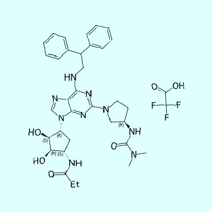 CCC(=O)N[C@H]1C[C@@H](n2cnc3c(NCC(c4ccccc4)c4ccccc4)nc(N4CC[C@@H](NC(=O)N(C)C)C4)nc32)[C@H](O)[C@@H]1O.O=C(O)C(F)(F)F